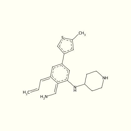 C=C/C=c1/cc(-c2csc(C)c2)cc(NC2CCNCC2)/c1=C/N